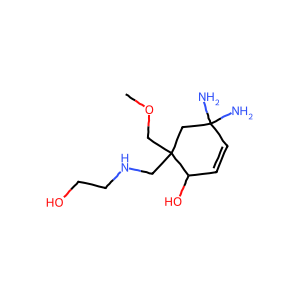 COCC1(CNCCO)CC(N)(N)C=CC1O